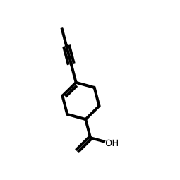 C=C(O)C1CC=C(C#CC)CC1